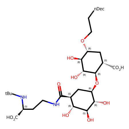 CCCCCCCCCCCCO[C@@H]1C[C@H](C(=O)O)[C@@H](O[C@@H]2C[C@H](C(=O)NCC[C@H](NC(C)(C)C)C(=O)O)[C@@H](O)[C@H](O)[C@H]2O)[C@H](O)[C@H]1O